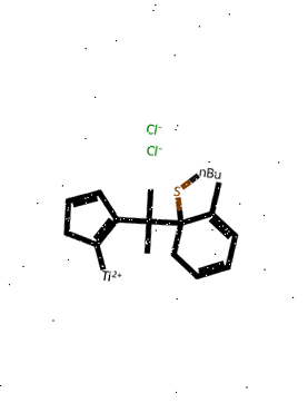 CCCCSC1(C(C)(C)C2=[C]([Ti+2])CC=C2)CC=CC=C1C.[Cl-].[Cl-]